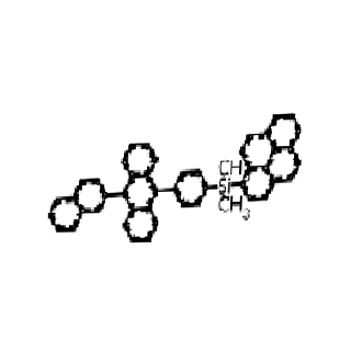 C[Si](C)(c1ccc(-c2c3ccccc3c(-c3ccc4ccccc4c3)c3ccccc23)cc1)c1ccc2ccc3cccc4ccc1c2c34